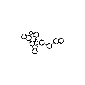 c1cc(-c2ccc(N(c3cccc4c3sc3ccccc34)c3cccc4oc5c6ccccc6ccc5c34)cc2)cc(-c2ccc3ccccc3c2)c1